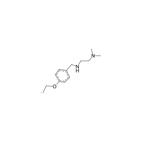 [CH2]COc1ccc(CNCCN(C)C)cc1